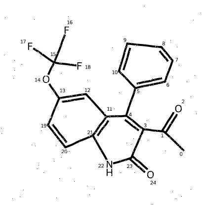 CC(=O)c1c(-c2ccccc2)c2cc(OC(F)(F)F)ccc2[nH]c1=O